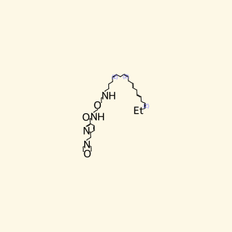 CC/C=C\CC=CCC=CC/C=C\C/C=C\CCCCNCCOCCNC(=O)c1ccc(CCN2CCOCC2)nc1